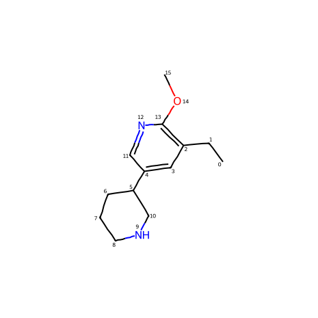 CCc1cc(C2CCCNC2)cnc1OC